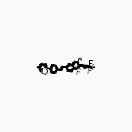 CC1CCC(C2CCC(/C=C/c3ccc4c(F)c(C#CC(F)(F)F)c(F)cc4c3)CC2)OC1